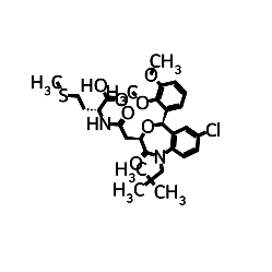 COc1cccc([C@@H]2O[C@H](CC(=O)N[C@H](CCSC)C(=O)O)C(=O)N(CC(C)(C)C)c3ccc(Cl)cc32)c1OC